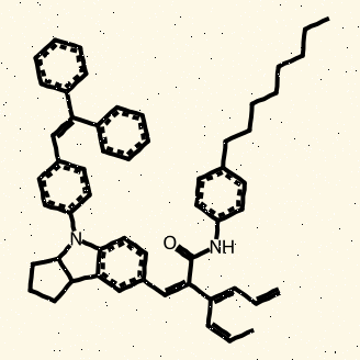 C=C/C=C(\C=C/C)C(=C/c1ccc2c(c1)C1CCCC1N2c1ccc(C=C(c2ccccc2)c2ccccc2)cc1)/C(=O)Nc1ccc(CCCCCCCC)cc1